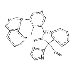 COC(C(=O)Nc1cncc(-c2cncc3cccnc23)c1C)(c1ccccn1)c1ncco1